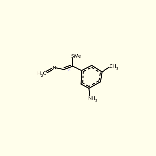 C=N/C=C(\SC)c1cc(C)cc(N)c1